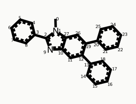 Cn1c(-c2ccccc2)nc2cc(-c3ccccc3)c(-c3ccccc3)cc21